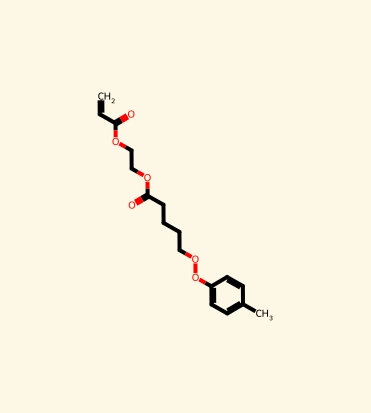 C=CC(=O)OCCOC(=O)CCCCOOc1ccc(C)cc1